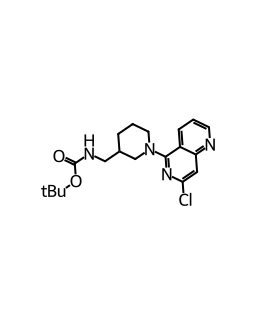 CC(C)(C)OC(=O)NCC1CCCN(c2nc(Cl)cc3ncccc23)C1